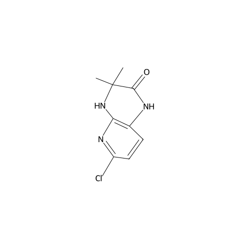 CC1(C)Nc2nc(Cl)ccc2NC1=O